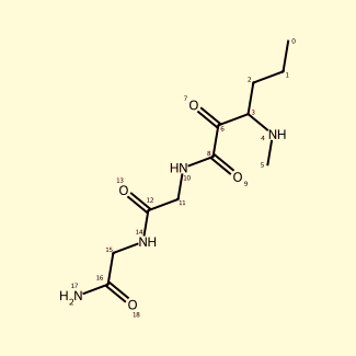 CCCC(NC)C(=O)C(=O)NCC(=O)NCC(N)=O